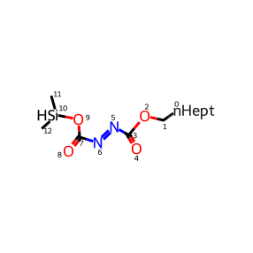 CCCCCCCCOC(=O)N=NC(=O)O[SiH](C)C